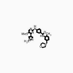 CSc1cnc(Nc2ccc(C(=O)Nc3cc(CN4CCOCC4)ccc3C)cc2)nc1-c1cnn(C)c1